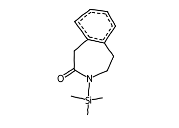 C[Si](C)(C)N1CCc2ccccc2CC1=O